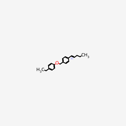 CCC/C=C/c1ccc(COc2ccc(CC)cc2)cc1